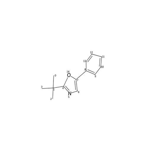 CC(C)(C)c1ncc(-c2ccccc2)o1